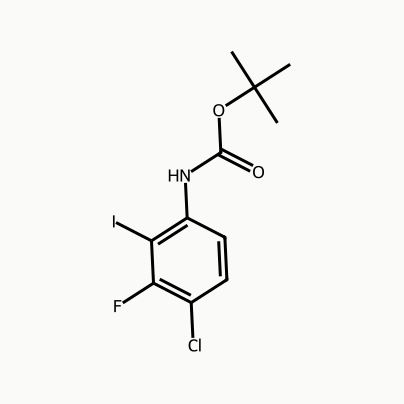 CC(C)(C)OC(=O)Nc1ccc(Cl)c(F)c1I